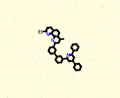 CCc1ccc2ccc3c(C)cc(-c4cccc(-c5cccc(-c6cc(-c7ccccc7)cc(-c7ccccc7)n6)c5)c4)nc3c2n1